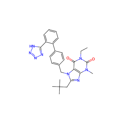 CCn1c(=O)c2c(nc(CC(C)(C)C)n2Cc2ccc(-c3ccccc3-c3nnn[nH]3)cc2)n(C)c1=O